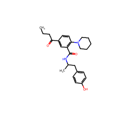 CCCC(=O)c1ccc(N2CCCCC2)c(C(=O)NC(C)Cc2ccc(O)cc2)c1